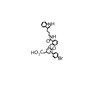 O=C(O)CC1CN(Cc2ccccc2C(=O)NCCCc2c[nH]c3ccccc23)C(=O)N(c2ccc(Br)cc2)C1